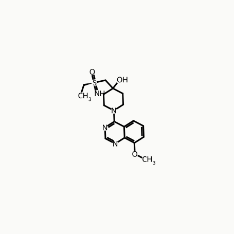 CC[S@@](=N)(=O)CC1(O)CCN(c2ncnc3c(OC)cccc23)CC1